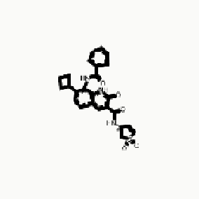 O=C(Nc1c(C2CCC2)ccc2cc(C(=O)N[C@@H]3C=CS(=O)(=O)C3)c(=O)[nH]c12)c1ccccc1